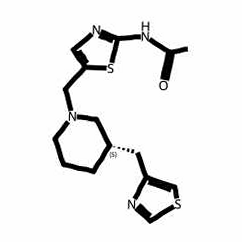 CC(=O)Nc1ncc(CN2CCC[C@@H](Cc3cscn3)C2)s1